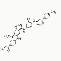 C=CC(=O)N1CCC(Nc2cc3c(Nc4ccc(Oc5ccnc(N6CCN(C)CC6)c5)c(Cl)c4)ncnc3cc2OC)CC1